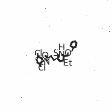 CCc1cc(CCc2nc3c(Cl)ccc(Cl)c3o2)c(=S)[nH]c1COCc1ccccc1